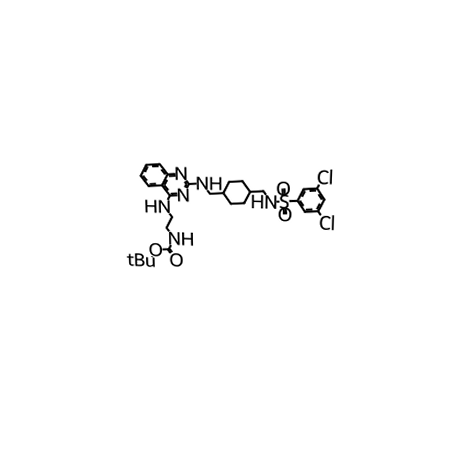 CC(C)(C)OC(=O)NCCNc1nc(NCC2CCC(CNS(=O)(=O)c3cc(Cl)cc(Cl)c3)CC2)nc2ccccc12